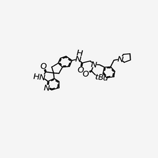 CC(C)(C)C(=O)N(CC(=O)Nc1ccc2c(c1)CC1(C2)C(=O)Nc2ncccc21)Cc1ccccc1CN1CCCC1